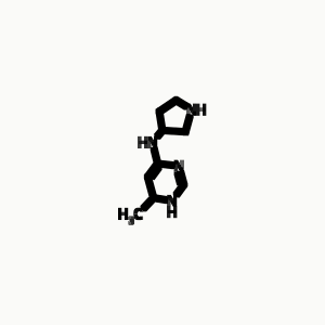 CC1C=C(NC2CCNC2)N=CN1